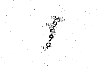 C[C@@H]1CN(C(=O)C(C)(C)N)CCN1C(=O)Nc1ccn(-c2ccc(CCN3CCCC(N)CC3)cc2)c(=O)n1